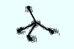 C[C@@]12CO[C@H](O1)[C@H](n1cc(COCCOCCOCCNC(=O)CCC(CCC(=O)NCCOCCOCCOCc3cn([C@H]4[C@H]5OC[C@](CO)(O5)[C@H](O)[C@@H]4O)nn3)(CCC(=O)NCCOCCOCCOCc3cn([C@H]4[C@H]5OC[C@H](O5)[C@H](O)[C@@H]4O)nn3)NC(=O)CCCCCCCCCCC(=O)NCCN3C(=O)C=CC3=O)nn1)[C@@H](O)[C@H]2O